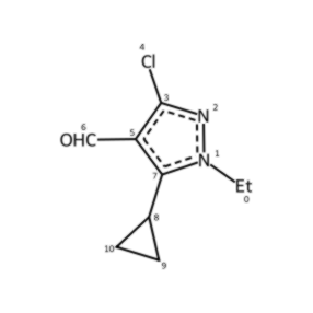 CCn1nc(Cl)c(C=O)c1C1CC1